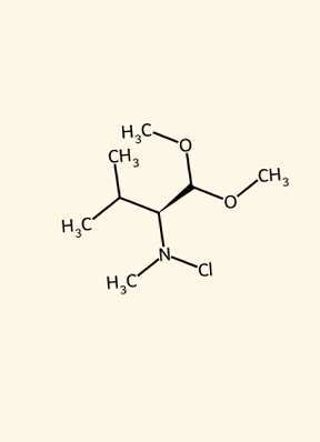 COC(OC)[C@H](C(C)C)N(C)Cl